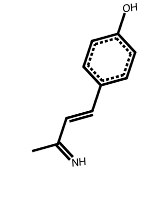 CC(=N)/C=C/c1ccc(O)cc1